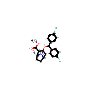 COC(=O)C1[C@H](OC(c2ccc(F)cc2)c2ccc(F)cc2)CC2CC[C@@H]1N2C